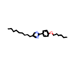 CCCCCCCCCc1cnc(-c2ccc(OCCCCCC)cc2)nc1